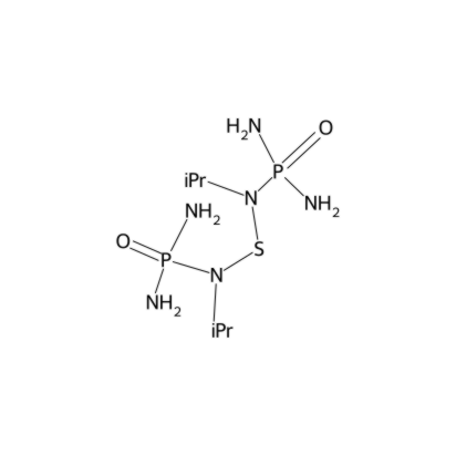 CC(C)N(SN(C(C)C)P(N)(N)=O)P(N)(N)=O